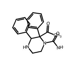 CC(=O)C1(c2ccccc2)C(c2ccccc2)NCCN1C([NH])=O